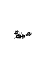 Fc1cc(NC2CCOCC2)c2[nH]c(C3=N[C@H](CCN4CCOCC4)CS3)cc2c1